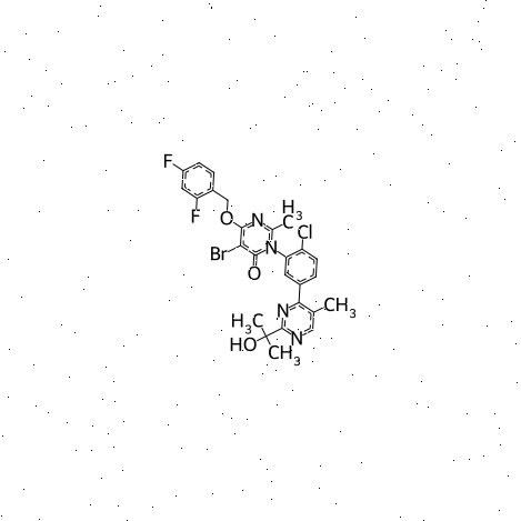 Cc1cnc(C(C)(C)O)nc1-c1ccc(Cl)c(-n2c(C)nc(OCc3ccc(F)cc3F)c(Br)c2=O)c1